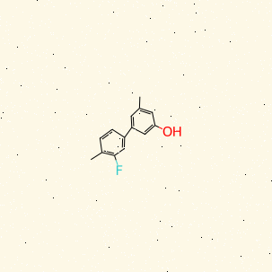 Cc1cc(O)cc(-c2ccc(C)c(F)c2)c1